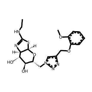 CCNC1=N[C@@H]2[C@@H](O)[C@H](O)[C@@H](Cn3cc(COc4ccccc4OC)nn3)O[C@@H]2S1